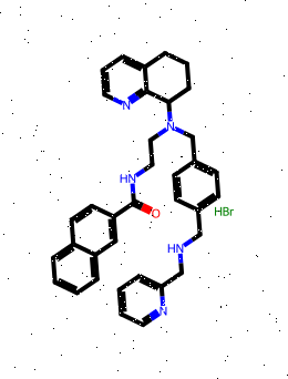 Br.O=C(NCCN(Cc1ccc(CNCc2ccccn2)cc1)C1CCCc2cccnc21)c1ccc2ccccc2c1